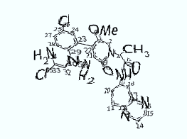 COc1cn(C(C)C(=O)Nc2ccc3nccnc3c2)c(=O)cc1-c1cc(Cl)ccc1N(N)/C=C(\N)Cl